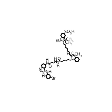 CC[N+]1=C(/C=C/C=C/C=C/C=C2/N(CCCCCC(=O)NNCCC(=O)Nc3ccc4c(c3)C(Nc3cccc(Br)c3)NC=N4)c3ccccc3C2(C)C)C(C)(C)c2cc(S(=O)(=O)O)ccc21